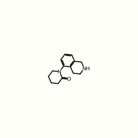 O=C1CCCCN1c1cccc2c1CCNC2